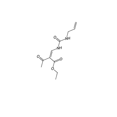 C=CCNC(=O)NC=C(C(C)=O)C(=O)OCC